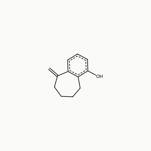 C=C1CCCCc2c(O)cccc21